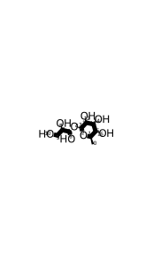 C[C@H]1O[C@H](OC(O)[C@@H](O)CO)[C@H](O)[C@@H](O)[C@@H]1O